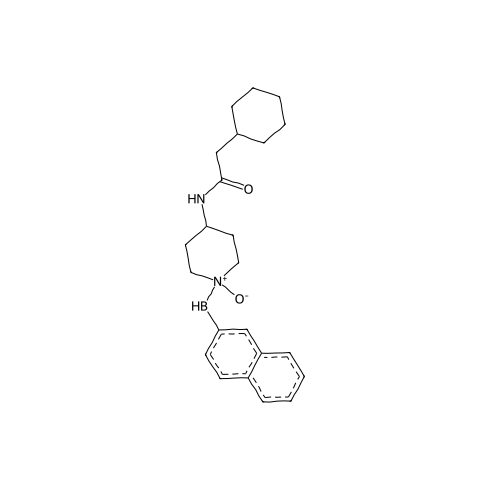 O=C(CC1CCCCC1)NC1CC[N+]([O-])(Bc2ccc3ccccc3c2)CC1